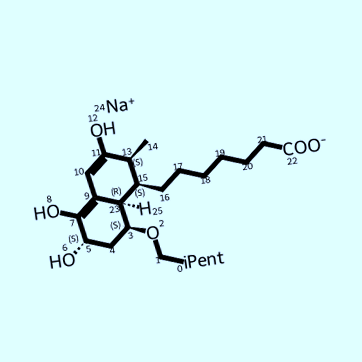 CCCC(C)CO[C@H]1C[C@H](O)C(O)=C2C=C(O)[C@@H](C)[C@@H](CCCCCCC(=O)[O-])[C@H]21.[Na+]